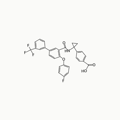 O=C(O)c1ccc(C2(NC(=O)c3cc(-c4cccc(C(F)(F)F)c4)ccc3Oc3ccc(F)cc3)CC2)cc1